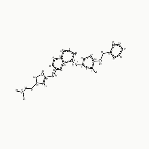 Cc1cc(Nc2ncnc3ccc(NC4=NC(CCN(C)C)CO4)cc23)ccc1OCc1ccccn1